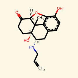 C=CCN[C@H]1Cc2ccc(O)c3c2C2(C)[C@H](O3)C(=O)CC[C@]12O